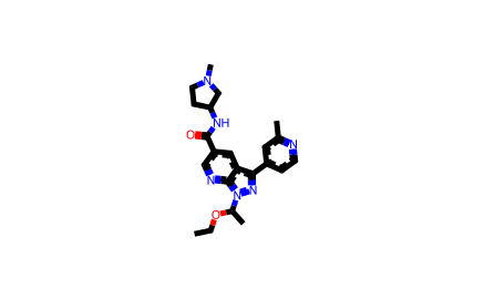 CCOC(C)n1nc(-c2ccnc(C)c2)c2cc(C(=O)NC3CCN(C)C3)cnc21